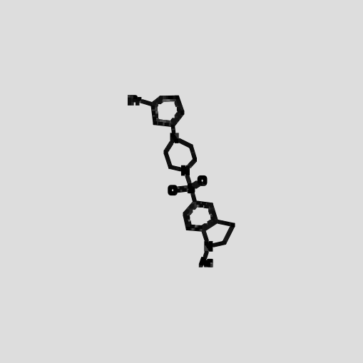 CC(=O)N1CCc2cc(S(=O)(=O)N3CCN(c4cccc(C(C)C)c4)CC3)ccc21